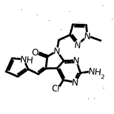 Cn1ccc(CN2C(=O)/C(=C\c3ccc[nH]3)c3c(Cl)nc(N)nc32)n1